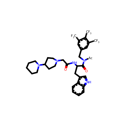 CC(=O)N(Cc1cc(C(F)(F)F)c(C(F)(F)F)c(C(F)(F)F)c1)C(=O)C(Cc1c[nH]c2ccccc12)NC(=O)CN1CCC(N2CCCCC2)CC1